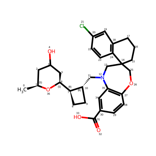 C[C@H]1CC(O)C[C@@H]([C@@H]2CC[C@H]2CN2CC3(CCCc4cc(Cl)ccc43)COc3ccc(C(=O)O)cc32)O1